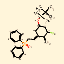 C=C1C(=CCP(=O)(c2ccccc2)c2ccccc2)CC(O[Si](C)(C)C(C)(C)C)CC1F